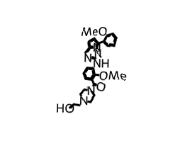 COc1ccccc1-c1ccc2cnc(Nc3cccc(C(=O)N4CCN(CCO)CC4)c3OC)nn12